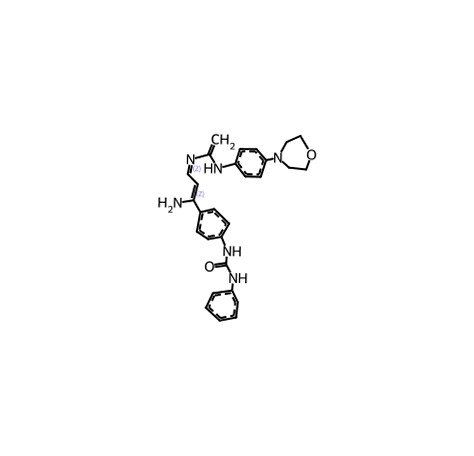 C=C(/N=C\C=C(/N)c1ccc(NC(=O)Nc2ccccc2)cc1)Nc1ccc(N2CCOCC2)cc1